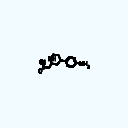 Nc1ccc(C2CCNC(C[SH](=O)=O)C2)cc1